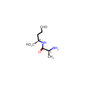 C[C@H](N)C(=O)N[C@H](CC[C]=O)C(=O)O